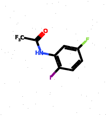 O=C(Nc1cc(F)ccc1I)C(F)(F)F